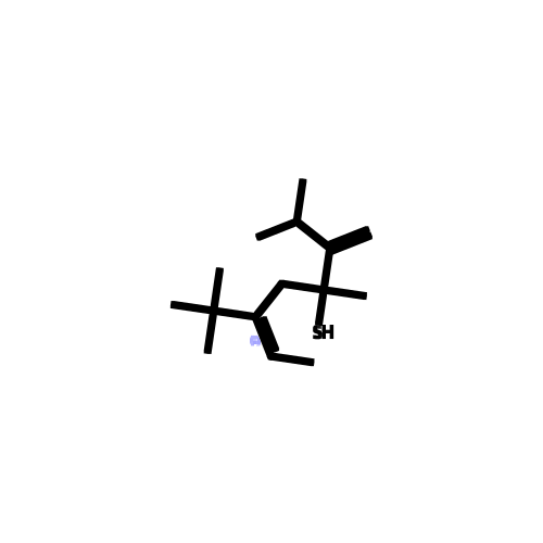 C=C(C(C)C)C(C)(S)C/C(=C\C)C(C)(C)C